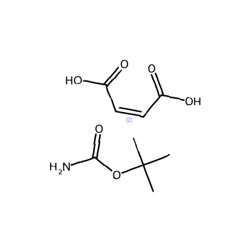 CC(C)(C)OC(N)=O.O=C(O)/C=C\C(=O)O